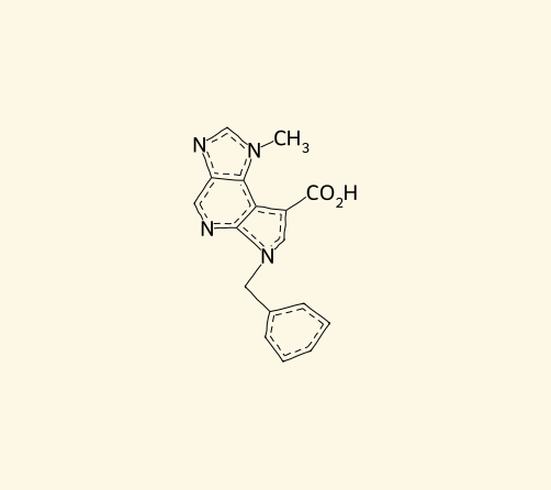 Cn1cnc2cnc3c(c(C(=O)O)cn3Cc3ccccc3)c21